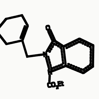 CCOC(=O)n1c2ccccc2c(=O)n1CC1=CCCCC1